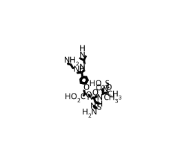 CC1(C)[C@H](NC(=O)/C(=N\OC(COc2ccc(C(=C/NCCCN)/C=N/CC3CNC3)cc2)C(=O)O)c2csc(N)n2)C(=O)N1OS(=O)(=O)O